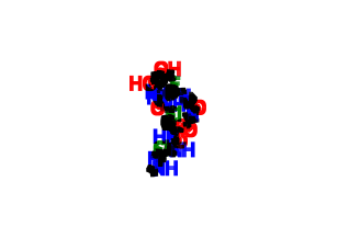 CCNC(=O)c1nnc(-c2cc(C(C)C)c(O)cc2O)n1-c1ccc(CN2CCC(C(=O)N3CC(C(=O)OC[C@@H](NC(=O)c4cc(-c5cc(NC(C)C)ncc5Cl)c[nH]4)c4cccc(Cl)c4)C3)CC2)c(F)c1